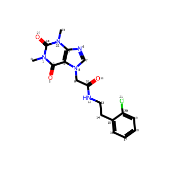 Cn1c(=O)c2c(ncn2CC(=O)NCCc2ccccc2Cl)n(C)c1=O